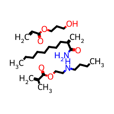 C=C(C)C(=O)OCCNCCCC.C=C(CCCCCCCC)C(N)=O.C=CC(=O)OCCCO